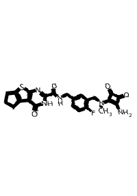 CN(Cc1cc(CNC(=O)c2nc3sc4c(c3c(=O)[nH]2)CCC4)ccc1F)c1c(N)c(=O)c1=O